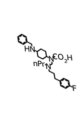 CCCN(CCCc1ccc(F)cc1)CN(C(=O)O)C1CCC(NCc2ccccc2)CC1